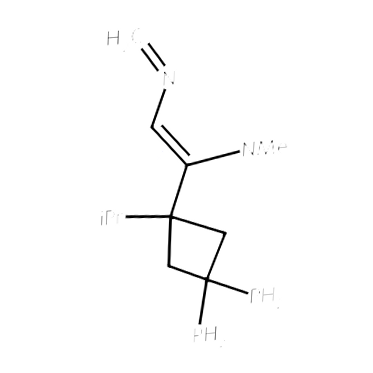 C=N/C=C(\NC)C1(C(C)C)CC(P)(P)C1